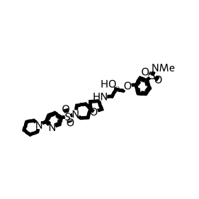 CNS(=O)(=O)c1cccc(OC[C@@H](O)CNC2COC3(CCN(S(=O)(=O)c4ccc(N5CCCCC5)nc4)CC3)C2)c1